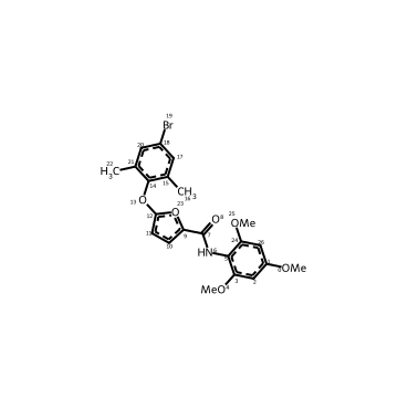 COc1cc(OC)c(NC(=O)c2ccc(Oc3c(C)cc(Br)cc3C)o2)c(OC)c1